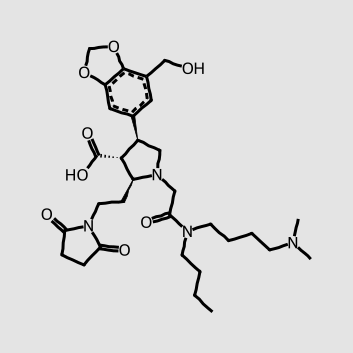 CCCCN(CCCCN(C)C)C(=O)CN1C[C@H](c2cc(CO)c3c(c2)OCO3)[C@@H](C(=O)O)[C@@H]1CCN1C(=O)CCC1=O